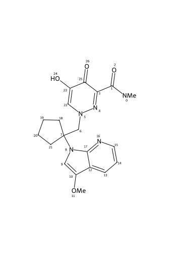 CNC(=O)c1nn(CC2(n3cc(OC)c4cccnc43)CCCC2)cc(O)c1=O